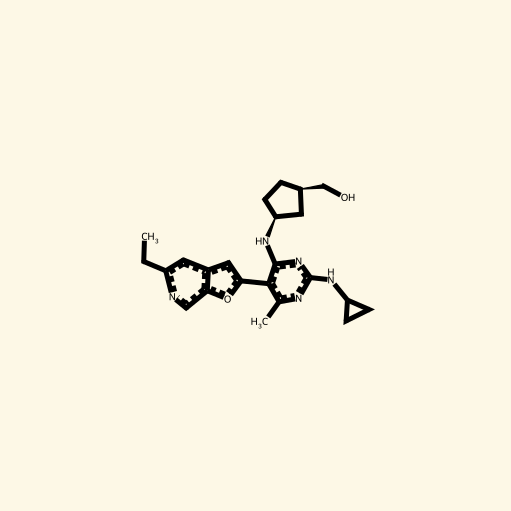 CCc1cc2cc(-c3c(C)nc(NC4CC4)nc3N[C@H]3CC[C@@H](CO)C3)oc2cn1